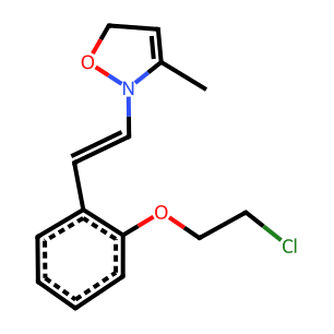 CC1=CCON1C=Cc1ccccc1OCCCl